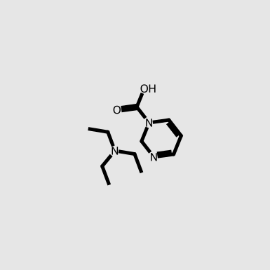 CCN(CC)CC.O=C(O)N1C=CC=NC1